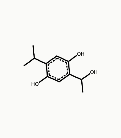 CC(C)c1cc(O)c(C(C)O)cc1O